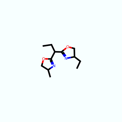 CCC1COC(C(CC)C2=NC(C)CO2)=N1